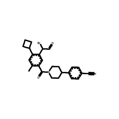 Cc1cc(C2CCC2)c(C(Br)C=O)cc1C(=O)N1CCC(c2ccc(C#N)cc2)CC1